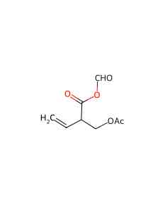 C=CC(COC(C)=O)C(=O)OC=O